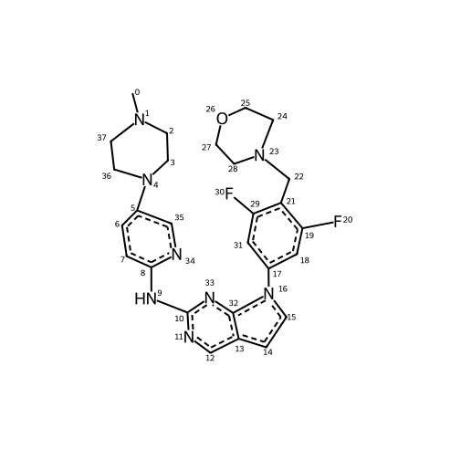 CN1CCN(c2ccc(Nc3ncc4ccn(-c5cc(F)c(CN6CCOCC6)c(F)c5)c4n3)nc2)CC1